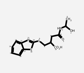 CC(O)NC(=O)CC(CSc1nc2ccccc2s1)C(=O)O